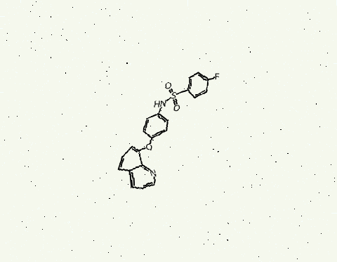 O=S(=O)(Nc1ccc(Oc2cccc3cccnc23)cc1)c1ccc(F)cc1